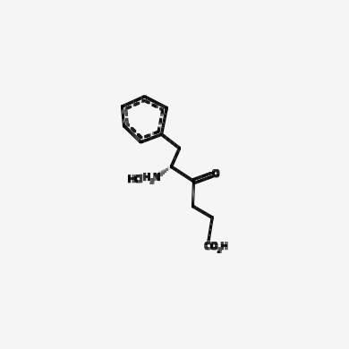 Cl.N[C@H](Cc1ccccc1)C(=O)CCC(=O)O